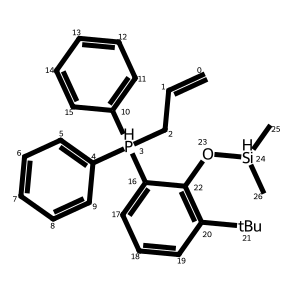 C=CC[PH](c1ccccc1)(c1ccccc1)c1cccc(C(C)(C)C)c1O[SiH](C)C